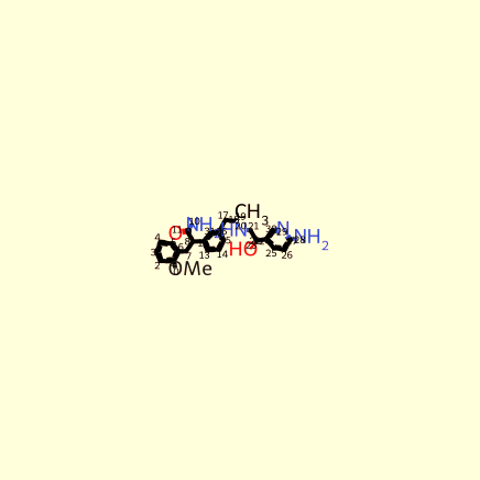 COc1ccccc1CC(C(N)=O)c1cccc(C[C@@H](C)NC[C@H](O)c2ccc(N)nc2)c1